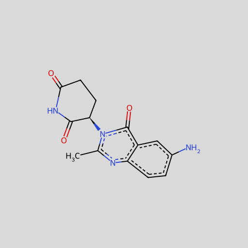 Cc1nc2ccc(N)cc2c(=O)n1[C@@H]1CCC(=O)NC1=O